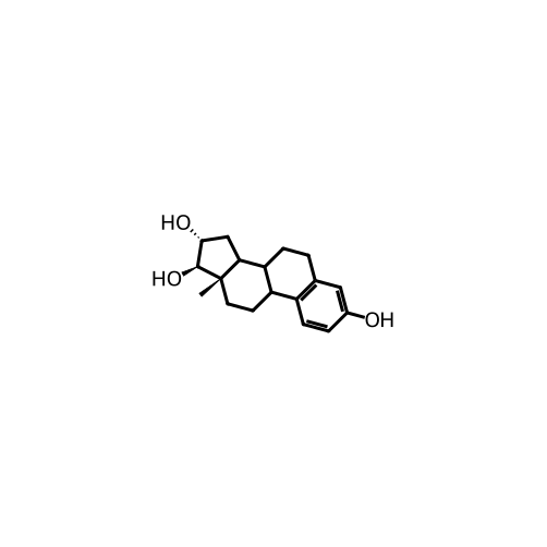 C[C@]12CCC3c4ccc(O)cc4CCC3C1C[C@@H](O)[C@@H]2O